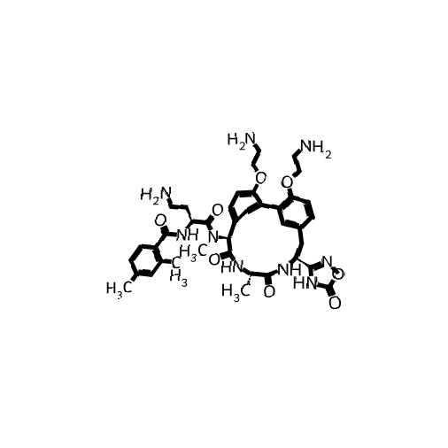 Cc1ccc(C(=O)N[C@@H](CCN)C(=O)N(C)[C@@H]2C(=O)N[C@@H](C)C(=O)N[C@H](c3noc(=O)[nH]3)Cc3ccc(OCCN)c(c3)-c3cc2ccc3OCCN)c(C)c1